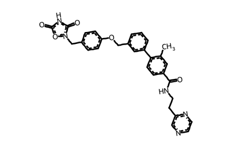 Cc1cc(C(=O)NCCc2cnccn2)ccc1-c1cccc(COc2ccc(Cn3oc(=O)[nH]c3=O)cc2)c1